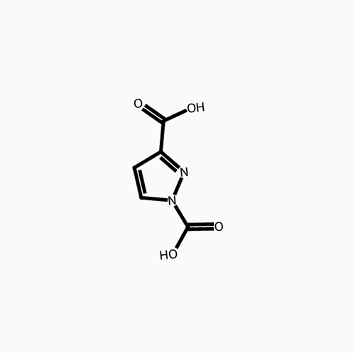 O=C(O)c1ccn(C(=O)O)n1